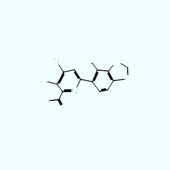 Nc1cc(-c2ccc3c(c2Cl)OCO3)nc(C(=O)O)c1Cl